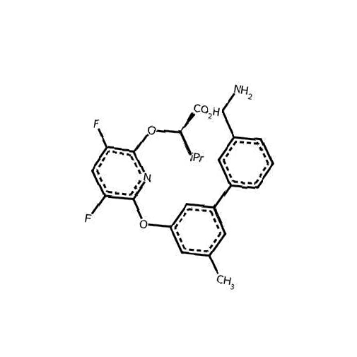 Cc1cc(Oc2nc(O[C@@H](C(=O)O)C(C)C)c(F)cc2F)cc(-c2cccc(CN)c2)c1